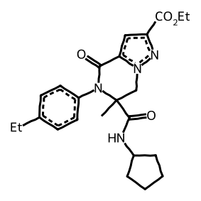 CCOC(=O)c1cc2n(n1)CC(C)(C(=O)NC1CCCC1)N(c1ccc(CC)cc1)C2=O